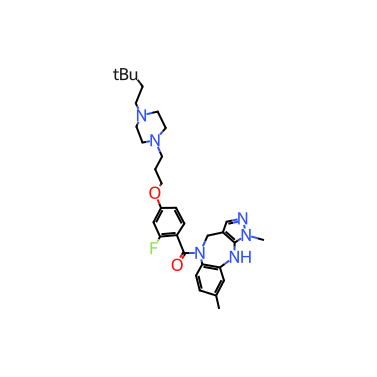 Cc1ccc2c(c1)Nc1c(cnn1C)CN2C(=O)c1ccc(OCCCN2CCN(CCC(C)(C)C)CC2)cc1F